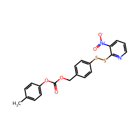 Cc1ccc(OC(=O)OCc2ccc(SSc3ncccc3[N+](=O)[O-])cc2)cc1